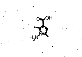 Cc1cc(C(=O)O)c(C)n1N